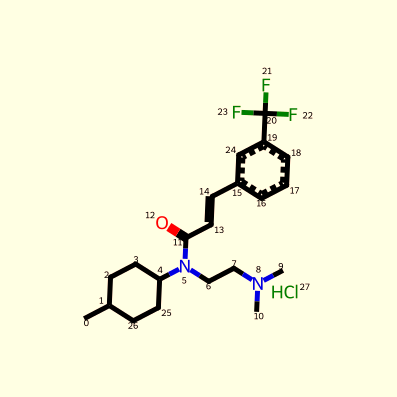 CC1CCC(N(CCN(C)C)C(=O)C=Cc2cccc(C(F)(F)F)c2)CC1.Cl